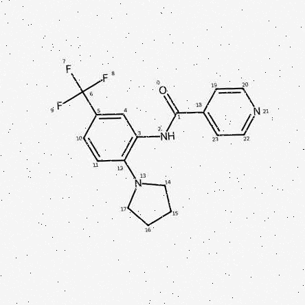 O=C(Nc1cc(C(F)(F)F)ccc1N1CCCC1)c1ccncc1